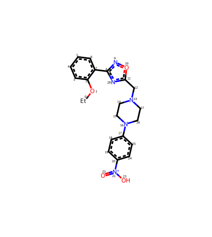 CCOc1ccccc1-c1noc(CN2CCN(c3ccc([N+](=O)O)cc3)CC2)n1